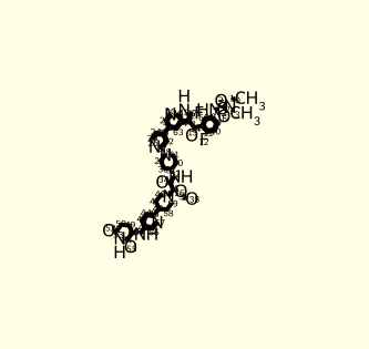 CCN(C)S(=O)(=O)Nc1ccc(F)c(C(=O)c2c[nH]c3ncc(-c4ccnc(N5CCC(NC(=O)C(OC=O)N6CCC(c7ccc(NC8CCC(=O)NC8=O)cn7)CC6)CC5)c4)cc23)c1F